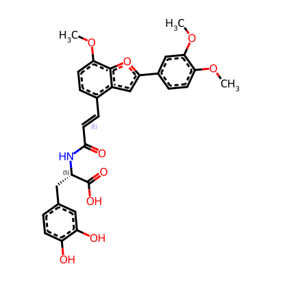 COc1ccc(-c2cc3c(/C=C/C(=O)N[C@@H](Cc4ccc(O)c(O)c4)C(=O)O)ccc(OC)c3o2)cc1OC